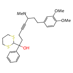 CNC(C#CCCC(O)(c1ccccc1)C1SCCCS1)CCc1ccc(OC)c(OC)c1